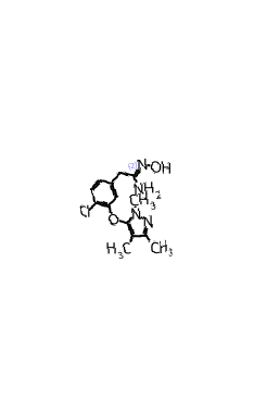 Cc1nn(C)c(Oc2cc(C/C(N)=N/O)ccc2Cl)c1C